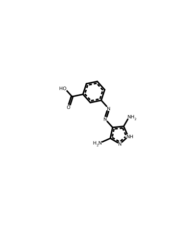 Nc1n[nH]c(N)c1N=Nc1cccc(C(=O)O)c1